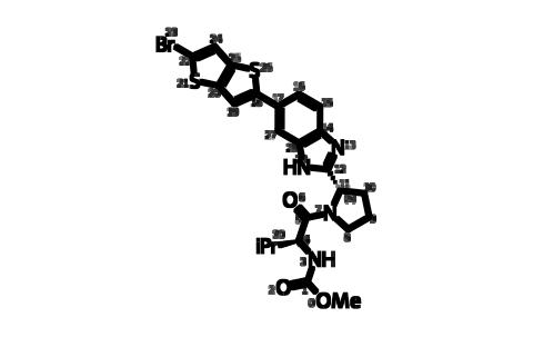 COC(=O)N[C@H](C(=O)N1CCC[C@H]1c1nc2ccc(-c3cc4sc(Br)cc4s3)cc2[nH]1)C(C)C